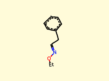 CCON=CCc1cc[c]cc1